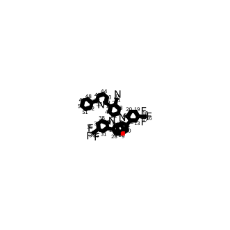 N#Cc1cc(-n2c3ccccc3c3cc(C(F)(F)F)ccc32)c(-n2c3ccccc3c3cc(C(F)(F)F)ccc32)cc1-c1cccc(-c2ccccc2)n1